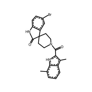 Cc1c(C(=O)N2CCC3(CC2)C(=O)Nc2ccc(Br)cc23)[nH]c2c(C)cccc12